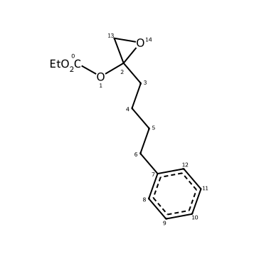 CCOC(=O)OC1(CCCCc2ccccc2)CO1